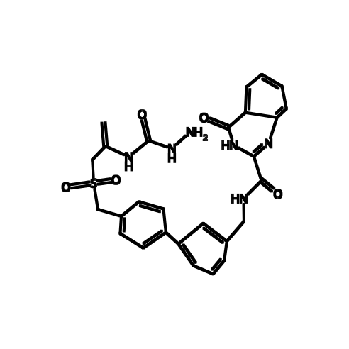 C=C(CS(=O)(=O)Cc1ccc(-c2cccc(CNC(=O)c3nc4ccccc4c(=O)[nH]3)c2)cc1)NC(=O)NN